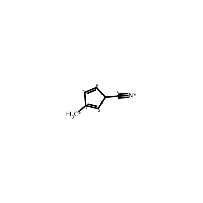 CC1=CC(C#N)C=C1